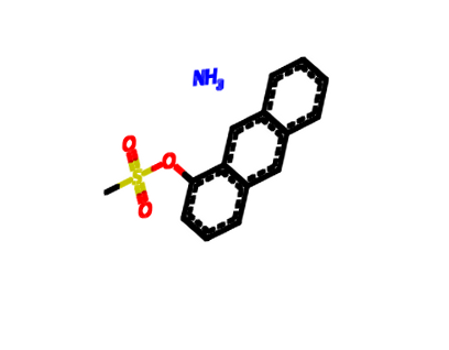 CS(=O)(=O)Oc1cccc2cc3ccccc3cc12.N